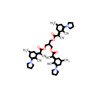 CC1CC(N2CCCC2)=C(C#N)/C(=C(\C#N)C(=O)OCC(COC(=O)/C(C#N)=C2\CC(C)CC(N3CCCC3)=C2C#N)COC(=O)/C(C#N)=C2\CC(C)CC(N3CCCC3)=C2C#N)C1